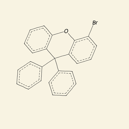 Brc1cccc2c1Oc1ccccc1C2(c1ccccc1)c1ccccc1